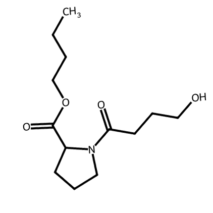 CCCCOC(=O)C1CCCN1C(=O)CCCO